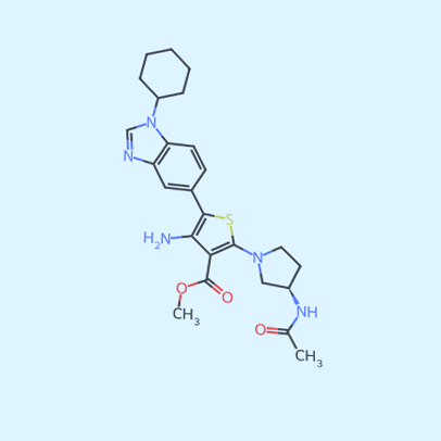 COC(=O)c1c(N2CC[C@@H](NC(C)=O)C2)sc(-c2ccc3c(c2)ncn3C2CCCCC2)c1N